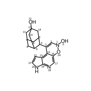 ON1C=C(C2C3CC4CC2CC(O)(C4)C3)c2c(cnc3[nH]ccc23)O1